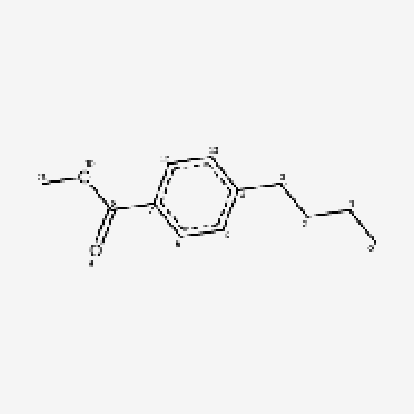 CCC[CH]c1ccc(C(=O)OC)cc1